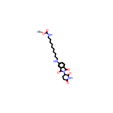 CC(C)(C)OC(=O)NCCCCCCCCCCNc1ccc2c(c1)C(=O)N(C1CCC(=O)NC1=O)C2=O